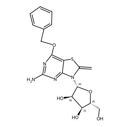 C=C1Sc2c(OCc3ccccc3)nc(N)nc2N1[C@@H]1O[C@H](CO)[C@@H](O)[C@H]1O